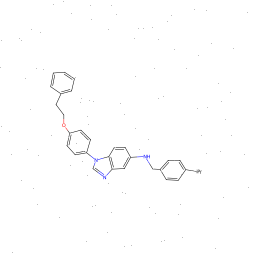 CC(C)c1ccc(CNc2ccc3c(c2)ncn3-c2ccc(OCCc3ccccc3)cc2)cc1